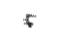 COc1cc(CN[C@H]2CC[C@@H](Nc3nc(N(C)C)c4ccccc4n3)CC2)ccc1O